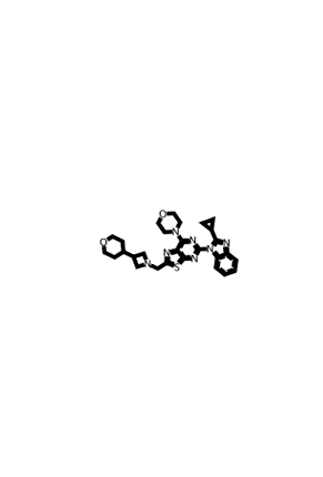 c1ccc2c(c1)nc(C1CC1)n2-c1nc(N2CCOCC2)c2nc(CN3CC(C4CCOCC4)C3)sc2n1